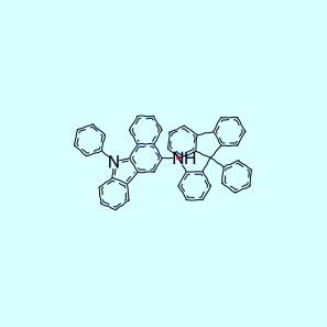 c1ccc(-n2c3ccccc3c3cc(Nc4ccccc4C4(c5ccccc5)c5ccccc5-c5ccccc54)c4ccccc4c32)cc1